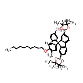 CCCCCCCCCCOc1ccc(C2(c3cc(C)ccc3C)c3cc(B4OC(C)(C)C(C)(C)O4)ccc3-c3ccc(B4OC(C)(C)C(C)(C)O4)cc32)cc1C